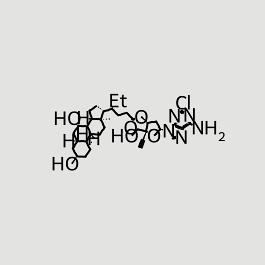 C#C[C@]1(CO)O[C@@H](n2cnc3c(N)nc(Cl)nc32)C[C@@H]1OC(=O)CC[C@@H](CC)[C@H]1CC[C@H]2[C@@H]3[C@@H](O)C[C@@H]4C[C@H](O)CC[C@]4(C)[C@H]3CC[C@]12C